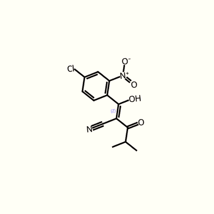 CC(C)C(=O)/C(C#N)=C(\O)c1ccc(Cl)cc1[N+](=O)[O-]